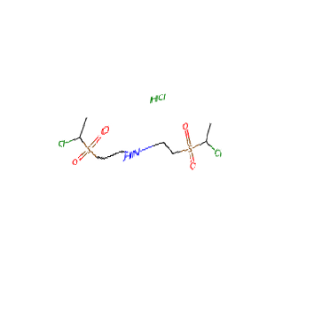 CC(Cl)S(=O)(=O)CCNCCS(=O)(=O)C(C)Cl.Cl